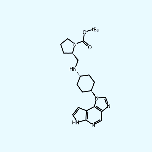 CC(C)(C)OC(=O)N1CCC[C@@H]1CN[C@H]1CC[C@H](n2cnc3cnc4[nH]ccc4c32)CC1